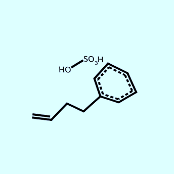 C=CCCc1ccccc1.O=S(=O)(O)O